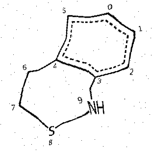 c1ccc2c(c1)CCSN2